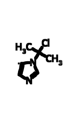 CC(C)(Cl)n1[c]cnc1